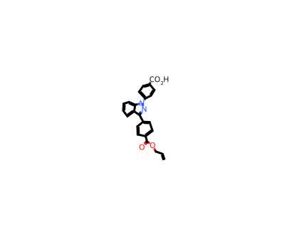 C=CCOC(=O)c1ccc(-c2nn(-c3ccc(C(=O)O)cc3)c3ccccc23)cc1